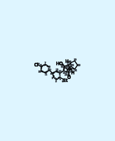 CCc1ccc(-c2ccc(Cl)cc2)cc1C1=C(O)[C@H]2C3CCC(C3=C(C)C)[C@H]2C1=O